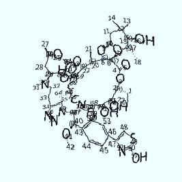 CC[C@H]1OC(=O)[C@H](C)[C@@H](O[C@H]2CC(C)(C)[C@@H](O)[C@H](C)O2)[C@H](C)[C@@H](O[C@@H]2O[C@H](C)C[C@H](N(C)CCc3cn([C@H](CF)[C@H](OC)c4ccc(-c5csc(O)n5)cc4)nn3)[C@H]2O)[C@](C)(O)C[C@@H](C)CN(C)[C@H](C)[C@@H](O)[C@]1(C)O